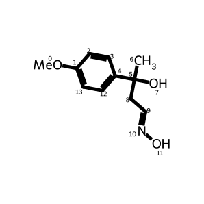 COc1ccc(C(C)(O)CC=NO)cc1